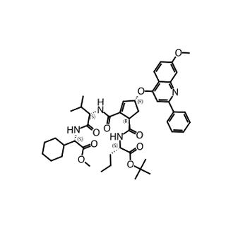 CCC[C@H](NC(=O)[C@@H]1C[C@@H](Oc2cc(-c3ccccc3)nc3cc(OC)ccc23)C=C1C(=O)N[C@H](C(=O)N[C@H](C(=O)OC)C1CCCCC1)C(C)C)C(=O)OC(C)(C)C